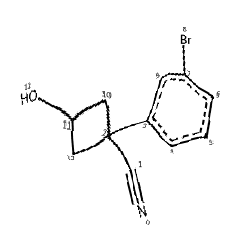 N#CC1(c2cccc(Br)c2)CC(O)C1